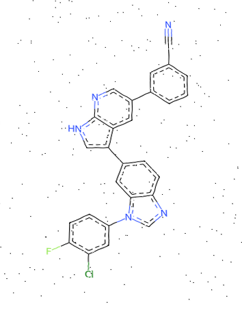 N#Cc1cccc(-c2cnc3[nH]cc(-c4ccc5ncn(-c6ccc(F)c(Cl)c6)c5c4)c3c2)c1